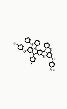 CCCCc1ccc(Oc2cc3c4c(c2)Sc2cc5c(cc2B4c2ccccc2S3)B2c3ccccc3N(c3ccccc3)c3cc(Oc4ccc(CCCC)cc4)cc(c32)N5c2ccc(I)cc2)cc1